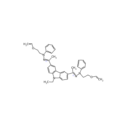 C=COCCN(/N=C(\C)c1ccc2c(c1)c1cc(/C(C)=N/N(CCOC=C)c3ccccc3)ccc1n2CC)c1ccccc1